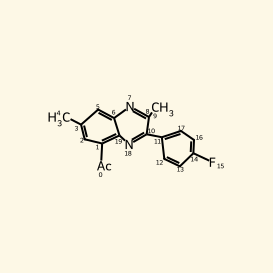 CC(=O)c1cc(C)cc2nc(C)c(-c3ccc(F)cc3)nc12